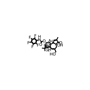 CC1=C[C@H]2[C@@]3(O)[C@H](C)[C@@H](OC(=O)Nc4c(F)c(F)c(F)c(F)c4F)[C@]4(O)[C@@H]([C@@H]3C=C(CO)C[C@]2(O)C1=O)C4(C)C